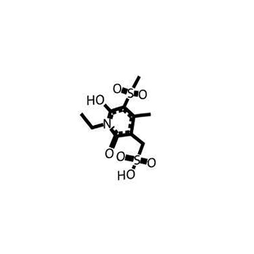 CCn1c(O)c(S(C)(=O)=O)c(C)c(CS(=O)(=O)O)c1=O